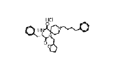 Cl.O=C1[C@H](Cc2ccccc2)NC(=O)C2(CCN(CCCCc3ccccc3)CC2)N1CC1CCCO1